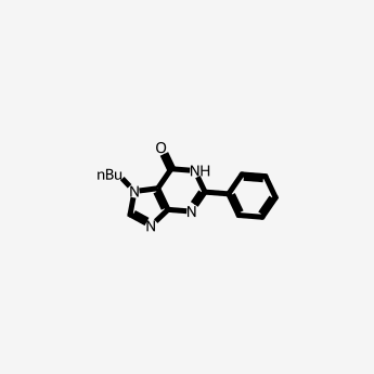 CCCCn1cnc2nc(-c3ccccc3)[nH]c(=O)c21